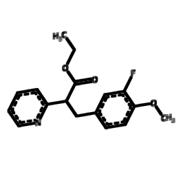 CCOC(=O)C(Cc1ccc(OC)c(F)c1)c1ccccn1